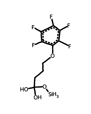 OC(O)(CCCOc1c(F)c(F)c(F)c(F)c1F)O[SiH3]